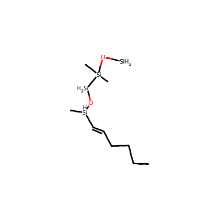 CCCCC=C[SiH](C)O[SiH2][Si](C)(C)O[SiH3]